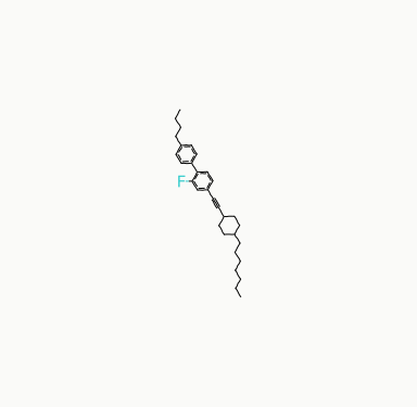 CCCCCCCC1CCC(C#Cc2ccc(-c3ccc(CCCC)cc3)c(F)c2)CC1